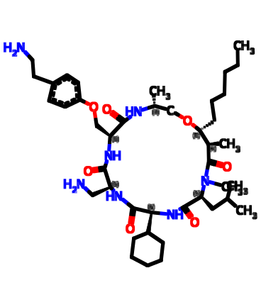 CCCCCC[C@H]1OC[C@@H](C)NC(=O)[C@H](COc2ccc(CCN)cc2)NC(=O)[C@H](CN)NC(=O)[C@H](C2CCCCC2)NC(=O)[C@H](CC(C)C)N(C)C(=O)[C@@H]1C